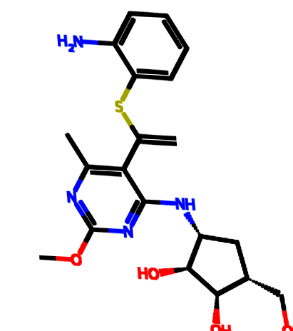 C=C(Sc1ccccc1N)c1c(C)nc(OC)nc1N[C@@H]1C[C@H](CO)[C@@H](O)[C@H]1O